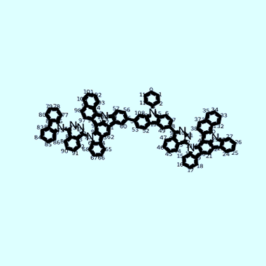 c1ccc(-n2c3ccc(-c4nnc(-n5c6ccccc6c6cc7c8ccccc8n8c9c%10ccccc%10ccc9c(c65)c78)c5ccccc45)cc3c3ccc(-c4ccc5c(c4)c4cc6c7ccccc7n(-c7nnc(-n8c9ccccc9c9ccccc98)c8ccccc78)c6c6c7ccc8ccccc8c7n5c46)cc32)cc1